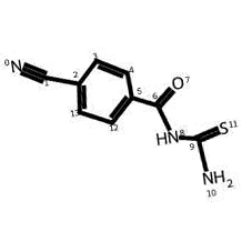 N#Cc1ccc(C(=O)NC(N)=S)cc1